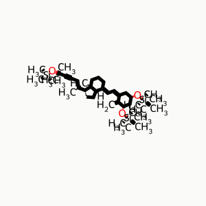 C=C1/C(=C\C=C2/CCC[C@]3(C)[C@@H]([C@H](C)CC#CC(C)(C)O[Si](C)(C)C)CC[C@@H]23)C[C@@H](O[Si](C)(C)C(C)(C)C)C[C@@H]1O[Si](C)(C)C(C)(C)C